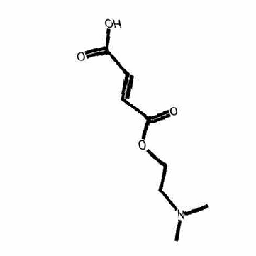 CN(C)CCOC(=O)C=CC(=O)O